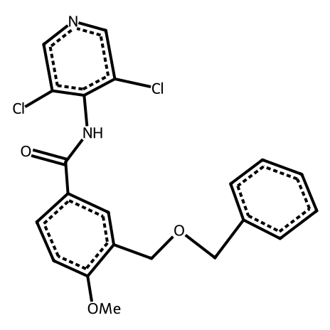 COc1ccc(C(=O)Nc2c(Cl)cncc2Cl)cc1COCc1ccccc1